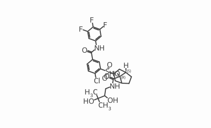 CC(C)(O)C(O)CNC(=O)[C@@]1(O)C2CC[C@H]1C[C@H](S(=O)(=O)c1cc(C(=O)Nc3cc(F)c(F)c(F)c3)ccc1Cl)C2